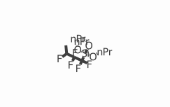 CCCO[Si](OCCC)(OCCC)C(F)(F)C(F)(F)C(C)F